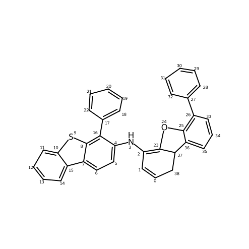 C1=CC(Nc2ccc3c(sc4ccccc43)c2-c2ccccc2)=C2Oc3c(-c4ccccc4)cccc3C2C1